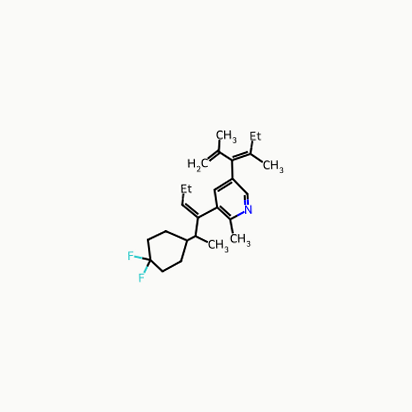 C=C(C)/C(=C(/C)CC)c1cnc(C)c(/C(=C\CC)C(C)C2CCC(F)(F)CC2)c1